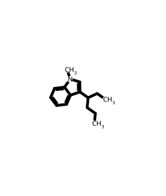 CCCC(CC)c1cn(C)c2ccccc12